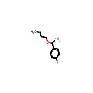 CCCCOC(C)c1ccc(F)cc1